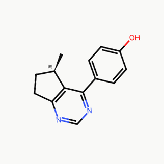 C[C@@H]1CCc2ncnc(-c3ccc(O)cc3)c21